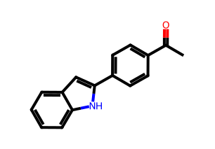 CC(=O)c1ccc(-c2cc3ccccc3[nH]2)cc1